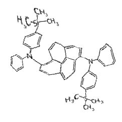 C[Si](C)(C)c1ccc(N(c2ccccc2)c2ccc3ccc4c(N(c5ccccc5)c5ccc(S(C)(C)C)cc5)ccc5ccc2c3c54)cc1